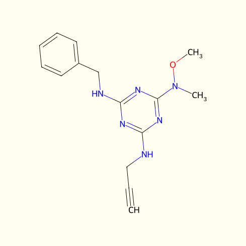 C#CCNc1nc(NCc2ccccc2)nc(N(C)OC)n1